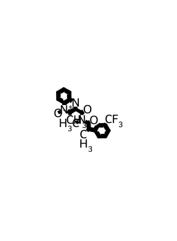 Cc1c(N(C)C(=O)c2nc3ccccc3[n+]([O-])c2C)oc2c(C(F)(F)F)cccc12